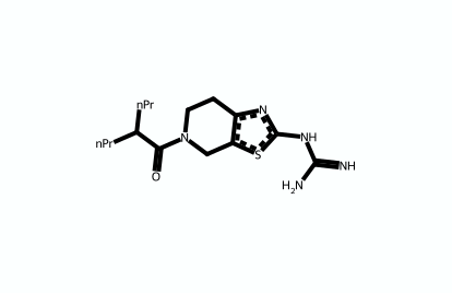 CCCC(CCC)C(=O)N1CCc2nc(NC(=N)N)sc2C1